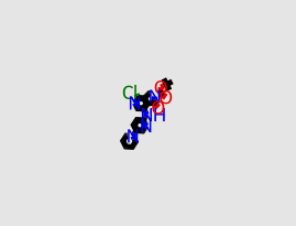 CC(C)(C)OC(=O)N1Cc2c(Cl)ncc(Nc3ccc(N4CCCCC4)cn3)c2C1=O